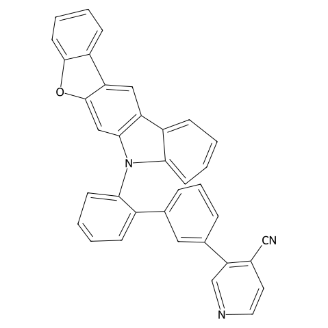 N#Cc1ccncc1-c1cccc(-c2ccccc2-n2c3ccccc3c3cc4c(cc32)oc2ccccc24)c1